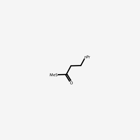 CCCCCC(=O)SC